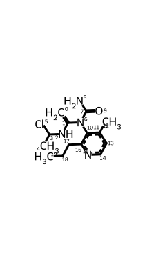 C=C(NC(C)Cl)N(C(N)=O)c1c(C)ccnc1CCC